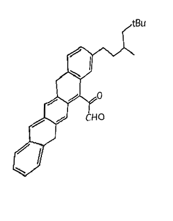 CC(CCc1ccc2c(c1)C(C(=O)C=O)=c1cc3c(cc1C2)=Cc1ccccc1C3)CC(C)(C)C